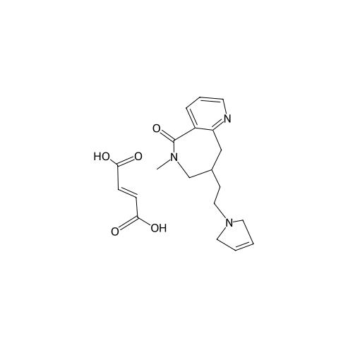 CN1CC(CCN2CC=CC2)Cc2ncccc2C1=O.O=C(O)C=CC(=O)O